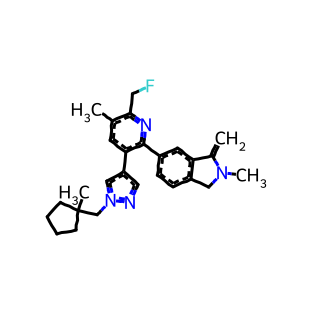 C=C1c2cc(-c3nc(CF)c(C)cc3-c3cnn(CC4(C)CCCC4)c3)ccc2CN1C